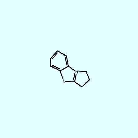 c1ccc2c(c1)sc1[n+]2CCC1